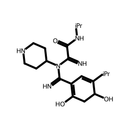 CC(C)NC(=O)C(=N)N(C(=N)C1=C(O)CC(O)C(C(C)C)=C1)C1CCNCC1